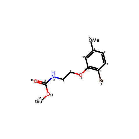 COc1ccc(Br)c(OCCNC(=O)OC(C)(C)C)c1